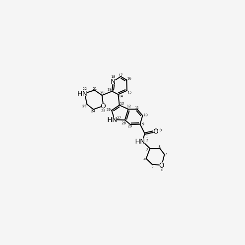 O=C(NC1CCOCC1)c1ccc2c(-c3cccnc3C3CNCCO3)c[nH]c2c1